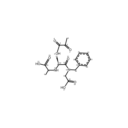 CC(=O)C(=O)O.CC(N[C@@H](C)C(=O)N(CC(=O)O)Cc1ccccc1)C(=O)O